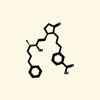 C[C@@H](CCCc1ccccc1)[C@H](O)C=C[C@H]1CCC(=O)N1CCCc1cccc(C(=O)O)c1